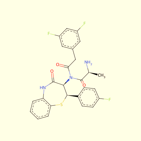 C[C@H](N)C(=O)N(C(=O)Cc1cc(F)cc(F)c1)[C@@H]1C(=O)Nc2ccccc2S[C@@H]1c1ccc(F)cc1